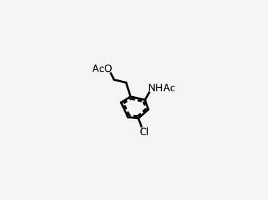 CC(=O)Nc1cc(Cl)ccc1CCOC(C)=O